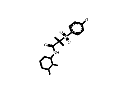 CC1CCCC(NC(=O)C(C)(C)S(=O)(=O)c2ccc(Cl)cc2)C1C